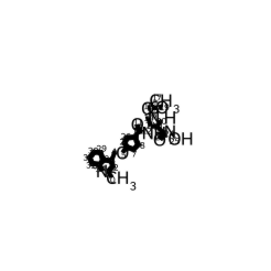 Cc1cc(COc2ccc(C(=O)NC3CN(S(C)(=O)=O)CC3C(=O)NO)cc2)c2ccccc2n1